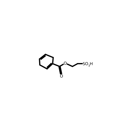 O=C(OCCS(=O)(=O)O)C1=CCC=CC1